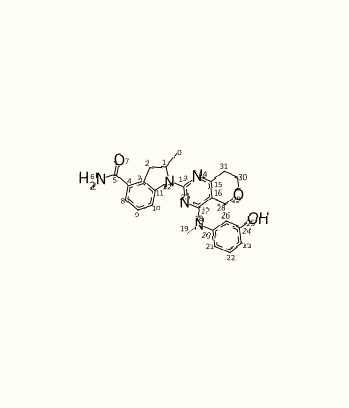 CC1Cc2c(C(N)=O)cccc2N1c1nc2c(c(N(C)c3cccc(O)c3)n1)COCC2